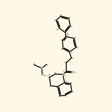 CN(C)C[C@H]1Cc2ccccc2N(C(=O)CCc2ccc(-c3ccccc3)cc2)C1